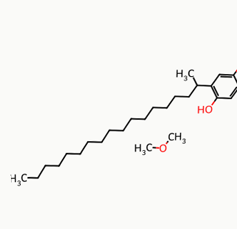 CCCCCCCCCCCCCCCCC(C)c1cc(O)ccc1O.COC